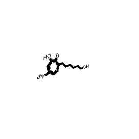 CC(C)c1ccc(CCCCCCO)c(=O)c(O)c1